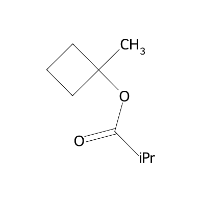 CC(C)C(=O)OC1(C)CCC1